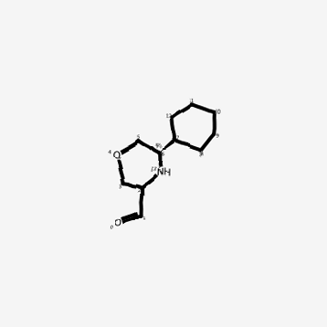 O=CC1COC[C@@H](C2CCCCC2)N1